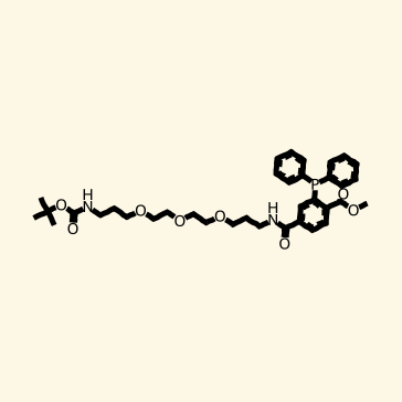 COC(=O)c1ccc(C(=O)NCCCOCCOCCOCCCNC(=O)OC(C)(C)C)cc1P(c1ccccc1)c1ccccc1